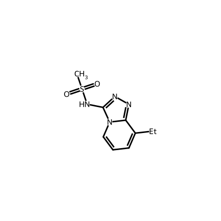 CCc1cccn2c(NS(C)(=O)=O)nnc12